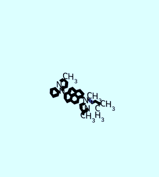 C/C(=C\CC(C)C)N(c1ccc(C)cn1)c1ccc2ccc3c(N(c4ccccc4)c4ccc(C)cn4)ccc4ccc1c2c43